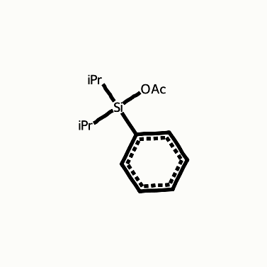 CC(=O)O[Si](c1ccccc1)(C(C)C)C(C)C